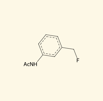 CC(=O)Nc1cccc(CF)c1